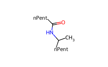 CCCCCC(=O)NC(C)CCCCC